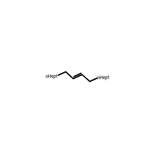 [CH2]CCCCCCCC=CCCCCCCC[CH2]